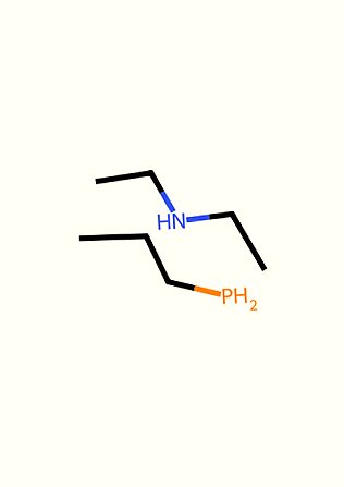 CCCP.CCNCC